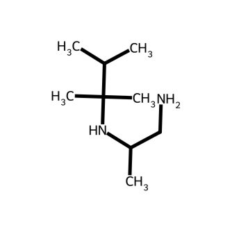 CC(CN)NC(C)(C)C(C)C